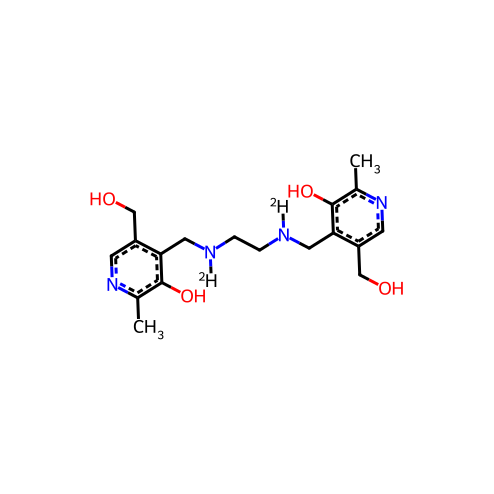 [2H]N(CCN([2H])Cc1c(CO)cnc(C)c1O)Cc1c(CO)cnc(C)c1O